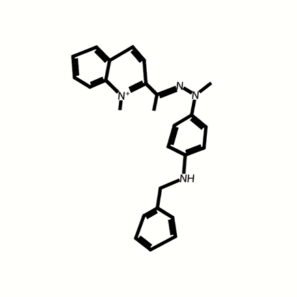 C/C(=N\N(C)c1ccc(NCc2ccccc2)cc1)c1ccc2ccccc2[n+]1C